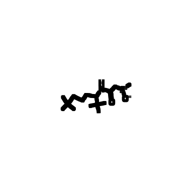 C[S+]([O-])CC(=O)NC(CCCC(C)(C)C)C(C)(C)C